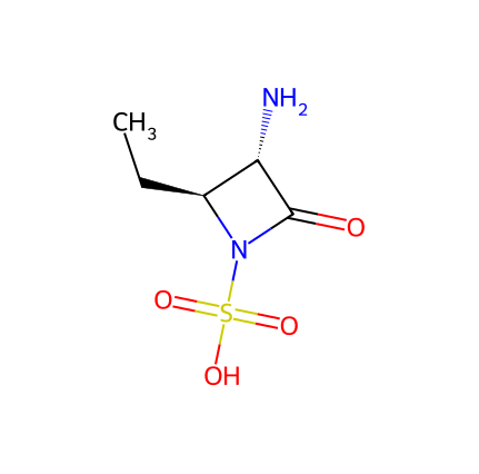 CC[C@H]1[C@H](N)C(=O)N1S(=O)(=O)O